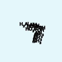 O=S(=O)(O)O.O=S(=O)(O)O.[AlH3].[AlH3].[AlH3].[AlH3].[AlH3].[AlH3].[AlH3]